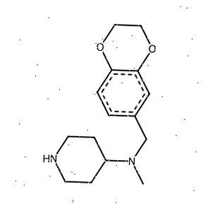 CN(Cc1ccc2c(c1)OCCO2)C1CCNCC1